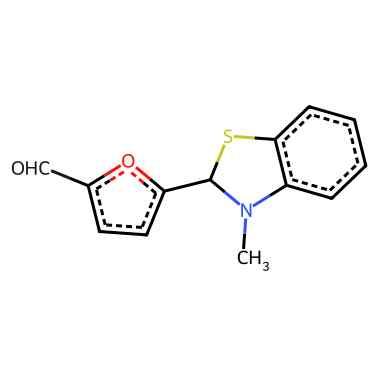 CN1c2ccccc2SC1c1ccc(C=O)o1